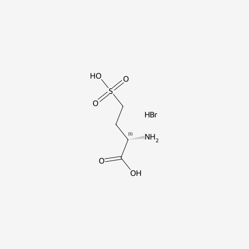 Br.N[C@@H](CCS(=O)(=O)O)C(=O)O